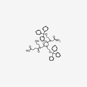 NC(=O)CN(CCOC(c1ccccc1)(c1ccccc1)c1ccccc1)C(=O)CN(CCOC(c1ccccc1)(c1ccccc1)c1ccccc1)C(=O)CN(CCO)C(=O)CCC(=O)O